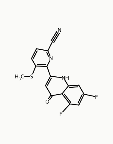 CSc1ccc(C#N)nc1-c1cc(=O)c2c(F)cc(F)cc2[nH]1